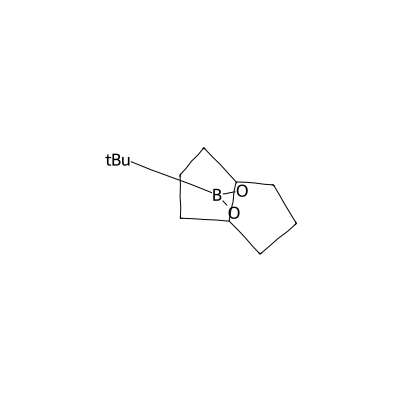 CC(C)(C)B1OC23CCCC2(CCC3)O1